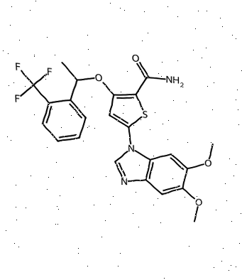 COc1cc2ncn(-c3cc(OC(C)c4ccccc4C(F)(F)F)c(C(N)=O)s3)c2cc1OC